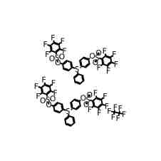 FC(F)(F)C(F)(F)F.O=S(=O)(Oc1ccc([S+](c2ccccc2)c2ccc(OS(=O)(=O)c3c(F)c(F)c(F)c(F)c3F)cc2)cc1)c1c(F)c(F)c(F)c(F)c1F.O=S(=O)(Oc1ccc([S+](c2ccccc2)c2ccc(OS(=O)(=O)c3c(F)c(F)c(F)c(F)c3F)cc2)cc1)c1c(F)c(F)c(F)c(F)c1F